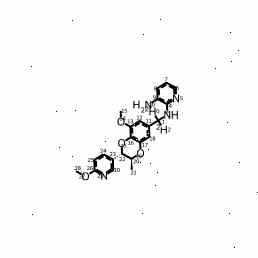 [2H]C([2H])(Nc1ncccc1N)c1cc(OC)c2c(c1)O[C@@H](C)[C@H](c1ccc(OC)nc1)O2